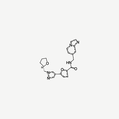 O=C(NCc1ccn2ccnc2c1)c1ccc(-c2cnn(C[C@@H]3CCCO3)c2)o1